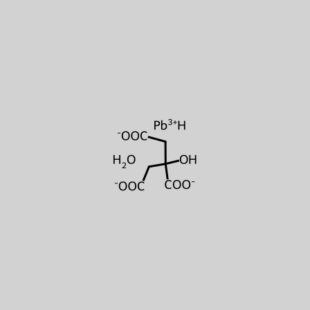 O.O=C([O-])CC(O)(CC(=O)[O-])C(=O)[O-].[PbH+3]